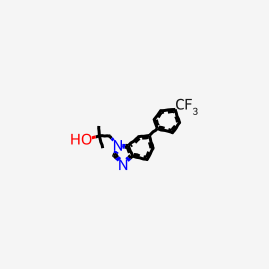 CC(C)(O)Cn1cnc2ccc(-c3ccc(C(F)(F)F)cc3)cc21